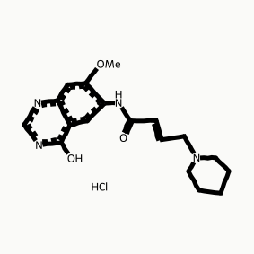 COc1cc2ncnc(O)c2cc1NC(=O)C=CCN1CCCCC1.Cl